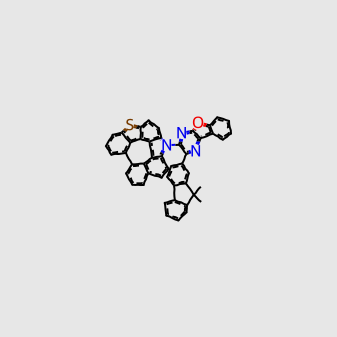 CC1(C)c2ccccc2-c2ccc(-c3nc4c(nc3-n3c5ccc6cccc7c6c5c5c6c(ccc53)sc3cccc-7c36)oc3ccccc34)cc21